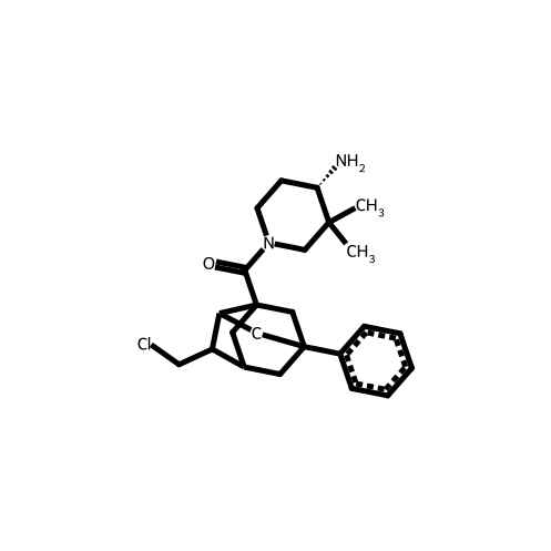 CC1(C)CN(C(=O)C23CC4CC(c5ccccc5)(CC2C4CCl)C3)CC[C@@H]1N